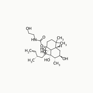 C=C[C@@H](C)CC(=O)[C@]1(O)[C@@H](C)[C@H](O)C[C@H]2C(C)(C)CC[C@](O)(OC(=O)NCCO)[C@@]21C